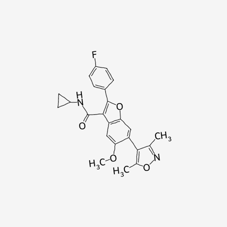 COc1cc2c(C(=O)NC3CC3)c(-c3ccc(F)cc3)oc2cc1-c1c(C)noc1C